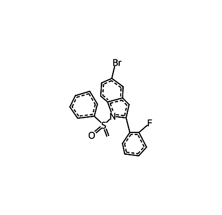 C=S(=O)(c1ccccc1)n1c(-c2ccccc2F)cc2cc(Br)ccc21